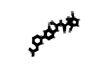 CN(C)CC1CCCN(c2ccc(C[C@@H](C#N)NC(=O)[C@H]3N[C@@H]4CC[C@H]3C4)c(F)c2)C1